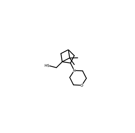 CC1(C)C2CC(N3CCOCC3)C1(CS)C2